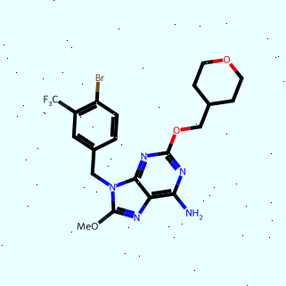 COc1nc2c(N)nc(OCC3CCOCC3)nc2n1Cc1ccc(Br)c(C(F)(F)F)c1